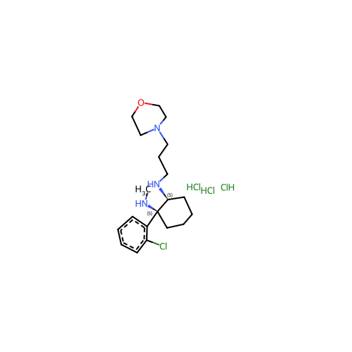 CN[C@]1(c2ccccc2Cl)CCCC[C@@H]1NCCCN1CCOCC1.Cl.Cl.Cl